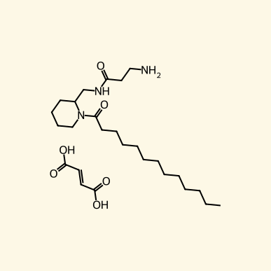 CCCCCCCCCCCCC(=O)N1CCCCC1CNC(=O)CCN.O=C(O)/C=C/C(=O)O